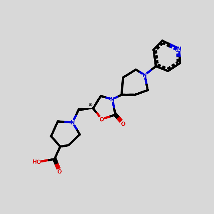 O=C(O)C1CCN(C[C@H]2CN(C3CCN(c4ccncc4)CC3)C(=O)O2)CC1